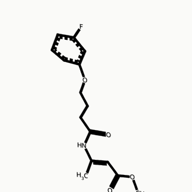 COC(=O)C=C(C)NC(=O)CCCOc1cccc(F)c1